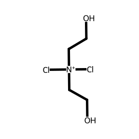 OCC[N+](Cl)(Cl)CCO